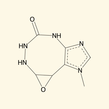 Cn1cnc2c1C1OC1NNC(=O)N2